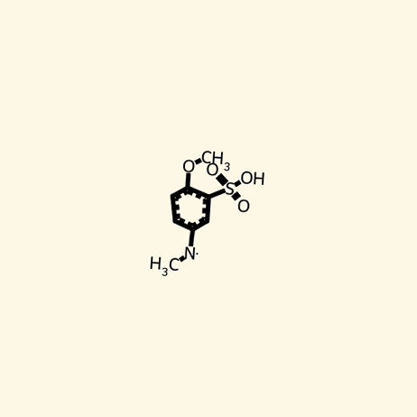 C[N]c1ccc(OC)c(S(=O)(=O)O)c1